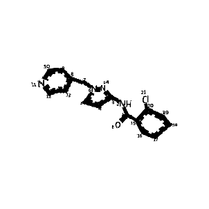 O=C(Nc1ccn(Cc2ccncc2)n1)c1ccccc1Cl